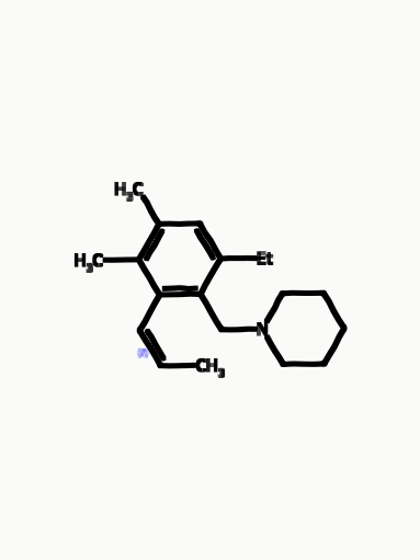 C/C=C\c1c(C)c(C)cc(CC)c1CN1CCCCC1